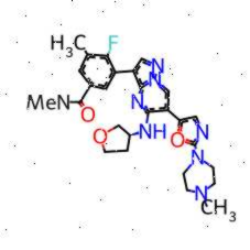 CNC(=O)c1cc(C)c(F)c(-c2cnn3cc(-c4cnc(N5CCN(C)CC5)o4)c(N[C@H]4CCOC4)nc23)c1